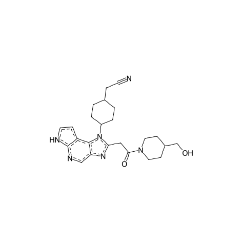 N#CCC1CCC(n2c(CC(=O)N3CCC(CO)CC3)nc3cnc4[nH]ccc4c32)CC1